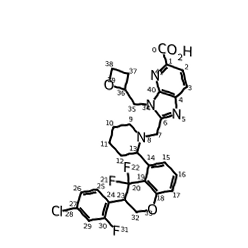 O=C(O)c1ccc2nc(CN3CCCCC3c3cccc4c3C(F)(F)C(c3ccc(Cl)cc3F)CO4)n(CC3CCO3)c2n1